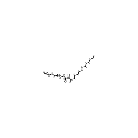 CCCCCCCCCCCCC(C)NC(=O)CCNCCCOC